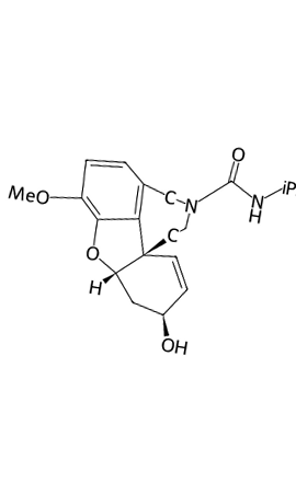 COc1ccc2c3c1O[C@H]1C[C@H](O)C=C[C@@]31CCN(C(=O)NC(C)C)C2